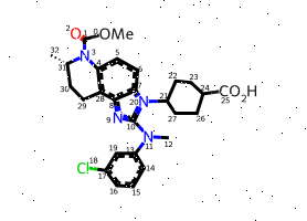 COC(=O)N1c2ccc3c(nc(N(C)c4cccc(Cl)c4)n3C3CCC(C(=O)O)CC3)c2CC[C@@H]1C